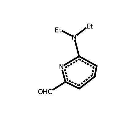 CCN(CC)c1cccc(C=O)n1